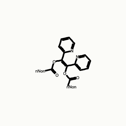 CCCCCCCCCC(=O)OC(=C(OC(=O)CCCCCCCCC)c1ccccn1)c1ccccn1